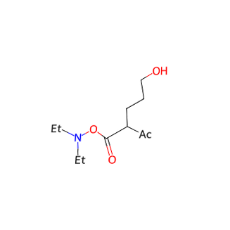 CCN(CC)OC(=O)C(CCCO)C(C)=O